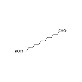 CCCCCCCCCCCCCCCCC/C=C/[C]=O